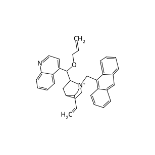 C=CCOC(c1ccnc2ccccc12)C1CC2CC[N+]1(Cc1c3ccccc3cc3ccccc13)CC2C=C